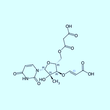 C[C@]1(O)[C@H](O/C=C/C(=O)O)[C@@H](COC(=O)CC(=O)O)O[C@H]1n1ccc(=O)[nH]c1=O